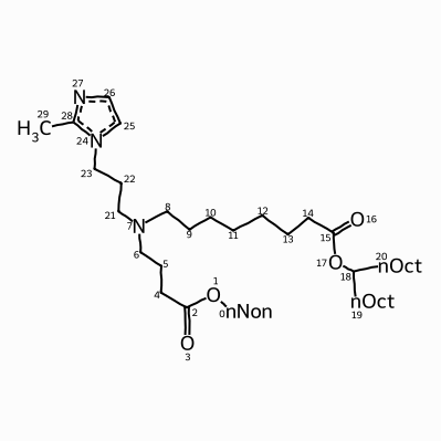 CCCCCCCCCOC(=O)CCCN(CCCCCCCC(=O)OC(CCCCCCCC)CCCCCCCC)CCCn1ccnc1C